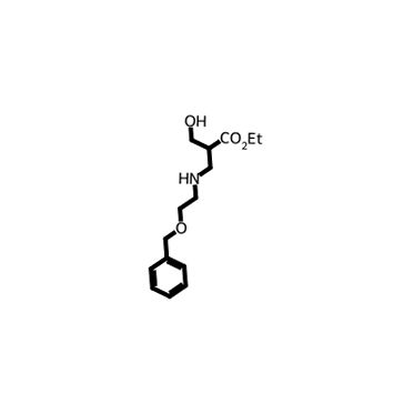 CCOC(=O)C(CO)CNCCOCc1ccccc1